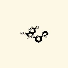 CCCCC(=O)c1nnc(Cl)cc1Nc1cccc(-n2cccn2)n1